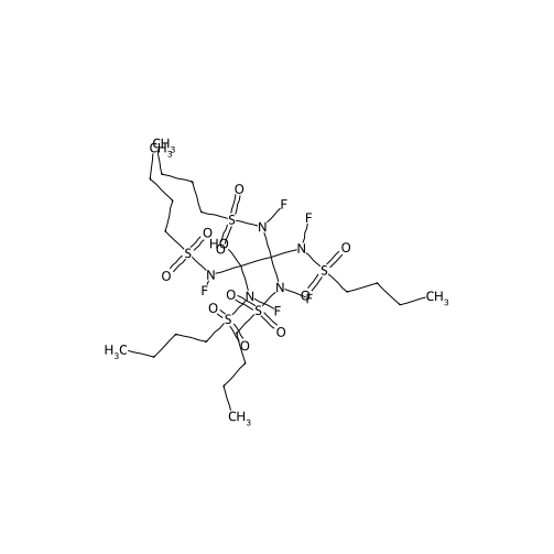 CCCCS(=O)(=O)N(F)C(O)(N(F)S(=O)(=O)CCCC)C(N(F)S(=O)(=O)CCCC)(N(F)S(=O)(=O)CCCC)N(F)S(=O)(=O)CCCC